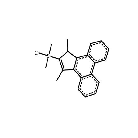 CC1=C([Si](C)(C)Cl)C(C)c2c1c1ccccc1c1ccccc21